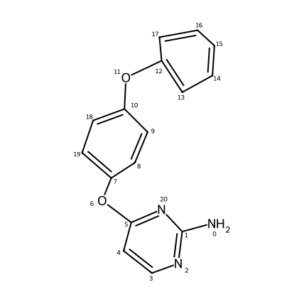 Nc1nccc(Oc2ccc(Oc3ccccc3)cc2)n1